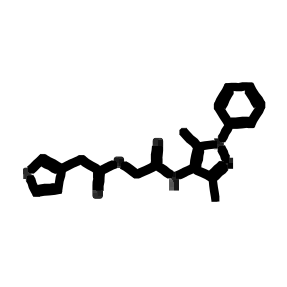 Cc1nn(-c2ccccc2)c(C)c1NC(=O)COC(=O)Cc1ccsc1